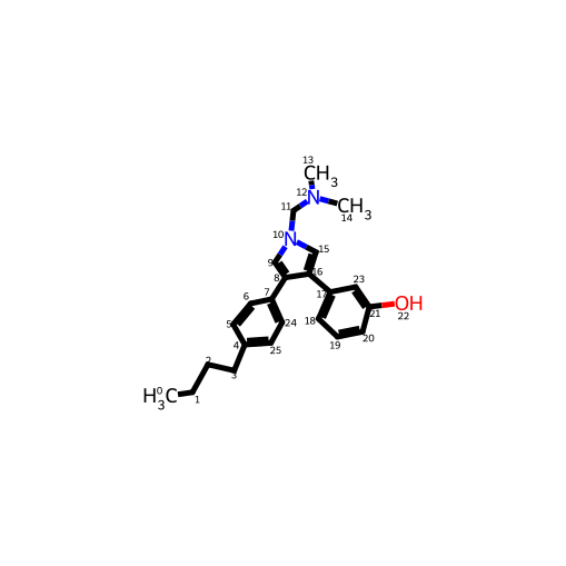 CCCCc1ccc(-c2cn(CN(C)C)cc2-c2cccc(O)c2)cc1